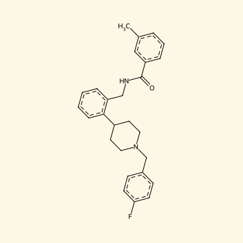 Cc1cccc(C(=O)NCc2ccccc2C2CCN(Cc3ccc(F)cc3)CC2)c1